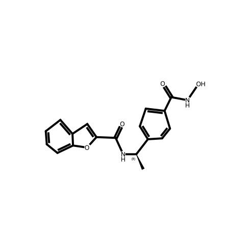 C[C@@H](NC(=O)c1cc2ccccc2o1)c1ccc(C(=O)NO)cc1